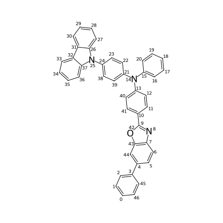 c1ccc(-c2ccc3nc(-c4ccc(N(c5ccccc5)c5ccc(-n6c7ccccc7c7ccccc76)cc5)cc4)oc3c2)cc1